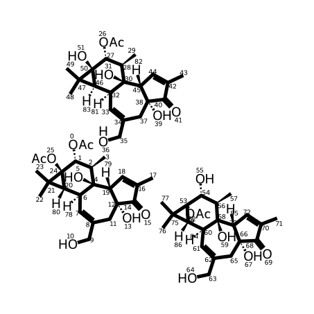 CC(=O)O[C@@H]1[C@@H](C)[C@@]2(O)[C@@H](C=C(CO)C[C@]3(O)C(=O)C(C)=C[C@@H]23)[C@@H]2C(C)(C)[C@]12OC(C)=O.CC(=O)O[C@@H]1[C@@H](C)[C@@]2(O)[C@@H](C=C(CO)C[C@]3(O)C(=O)C(C)=C[C@@H]23)[C@H]2C(C)(C)[C@]12O.CC(=O)O[C@@]12[C@H](O)[C@@H](C)[C@@]3(O)[C@@H](C=C(CO)C[C@]4(O)C(=O)C(C)=C[C@@H]34)[C@@H]1C2(C)C